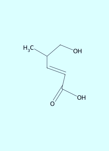 CC(C=CC(=O)O)CO